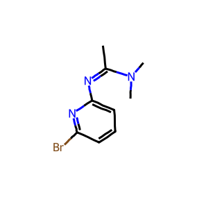 CC(=Nc1cccc(Br)n1)N(C)C